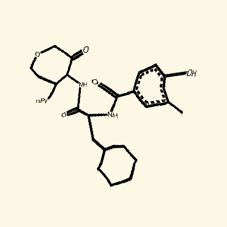 CCCC1COCC(=O)C1NC(=O)C(CC1CCCCC1)NC(=O)c1ccc(O)c(C)c1